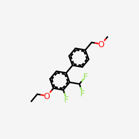 CCOc1ccc(-c2ccc(COC)cc2)c(C(F)F)c1F